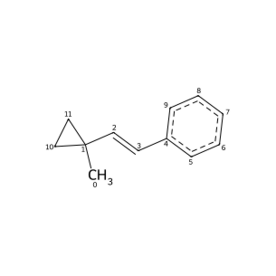 CC1(C=Cc2ccccc2)CC1